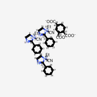 CC[N+]1(C#N)C=CN=C1c1ccccc1.CC[N+]1(C#N)C=CN=C1c1ccccc1.CC[N+]1(C#N)C=CN=C1c1ccccc1.O=C([O-])c1ccc(C(=O)[O-])c(C(=O)[O-])c1